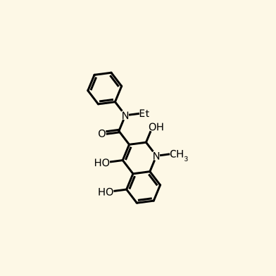 CCN(C(=O)C1=C(O)c2c(O)cccc2N(C)C1O)c1ccccc1